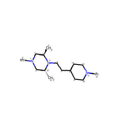 CCCN1C[C@@H](C)N(CCC2CCN(C(C)C)CC2)[C@H](C)C1